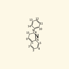 C1=c2ccccc2=NC(c2ccccc2)C1